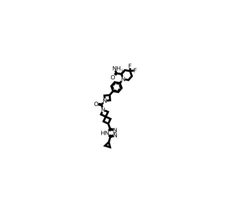 NC(=O)C1CC(F)(F)CCN1c1ccc(C2CN(C(=O)N3CC4(CC(c5nnc(C6CC6)[nH]5)C4)C3)C2)cc1